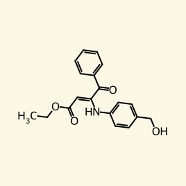 CCOC(=O)/C=C(\Nc1ccc(CO)cc1)C(=O)c1ccccc1